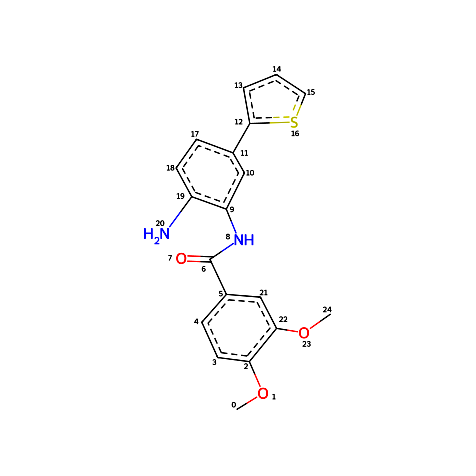 COc1ccc(C(=O)Nc2cc(-c3cccs3)ccc2N)cc1OC